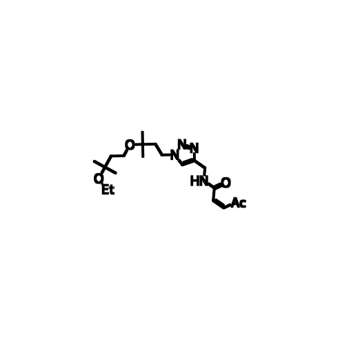 CCOC(C)(C)CCOC(C)(C)CCn1cc(CNC(=O)/C=C\C(C)=O)nn1